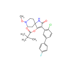 CON1CCC2(CC1)NC(=O)C(c1cc(-c3ccc(F)cc3)ccc1Cl)=C2OC(=O)C(C)(C)C